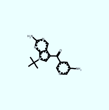 CC(C)(C)n1cc(C(=O)c2cncc(N)c2)c2cnc(N)nc21